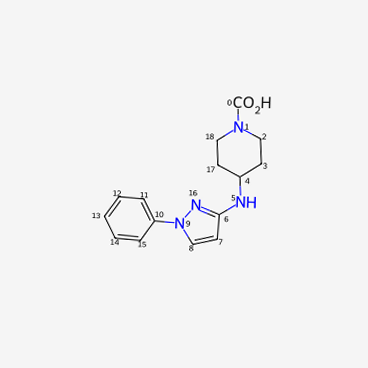 O=C(O)N1CCC(Nc2ccn(-c3ccccc3)n2)CC1